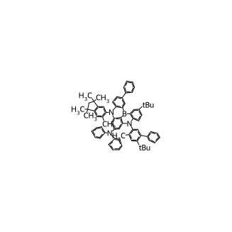 Cc1cc(C(C)(C)C)c(-c2ccccc2)cc1N1c2ccc(C(C)(C)C)cc2B2c3cc(-c4ccccc4)ccc3N(c3cc4c(cc3C)C(C)(C)CC4(C)C)c3cc(N(c4ccccc4)c4ccccc4)cc1c32